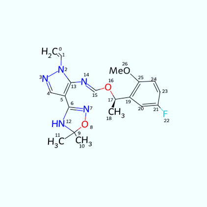 C=Cn1ncc(C2=NOC(C)(C)N2)c1/N=C/O[C@H](C)c1cc(F)ccc1OC